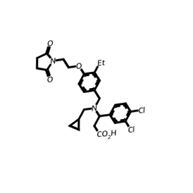 CCc1cc(CN(CC2CC2)C(CC(=O)O)c2ccc(Cl)c(Cl)c2)ccc1OCCN1C(=O)CCC1=O